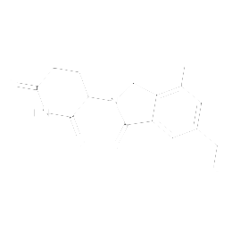 Cc1cc(CO)cc2c1CN(C1CCC(=O)NC1=O)C2=O